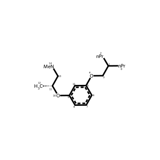 CCCC(CCC)COc1cccc(O[C@H](C)CNC)c1